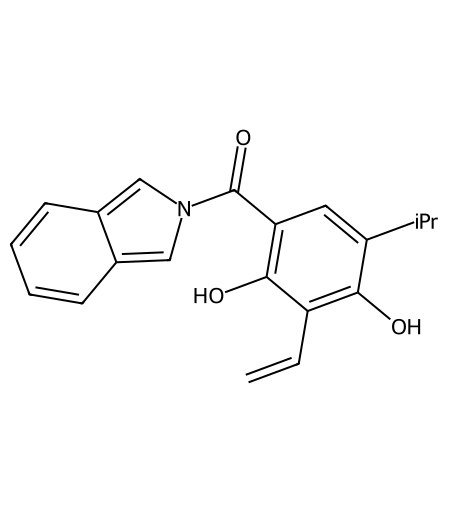 C=Cc1c(O)c(C(=O)n2cc3ccccc3c2)cc(C(C)C)c1O